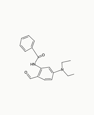 CCN(CC)c1ccc(C=O)c(NC(=O)c2ccccc2)c1